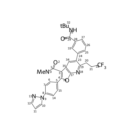 CNC(=O)c1c(-c2ccc(-n3cccn3)cc2)oc2nc(CCC(F)(F)F)c(-c3cccc(C(=O)NC(C)(C)C)c3)cc12